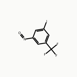 O=Nc1cc(I)cc(C(F)(F)F)c1